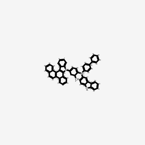 CC1CC(n2c3ccccc3c3c4c5ccccc5ccc4c4ccccc4c32)=CC=C1N(c1ccc(-c2ccccc2)cc1)c1ccc2oc3ccccc3c2c1